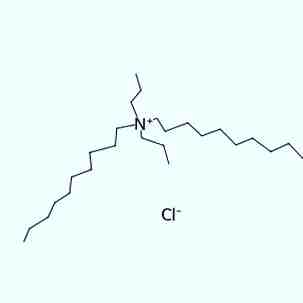 CCCCCCCCCC[N+](CCC)(CCC)CCCCCCCCCC.[Cl-]